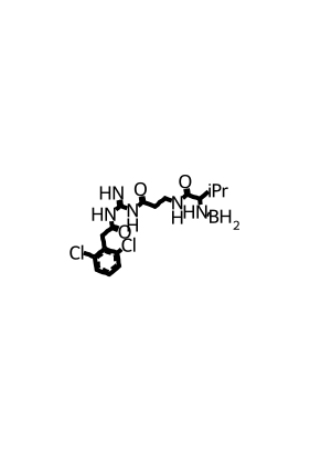 BNC(C(=O)NCCC(=O)NC(=N)NC(=O)Cc1c(Cl)cccc1Cl)C(C)C